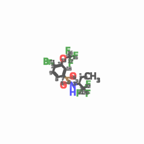 CC[C@H](NS(=O)(=O)c1ccc(Br)c(OC(F)(F)F)c1)C(F)(F)F